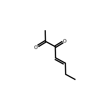 CCC=CC(=O)C(C)=O